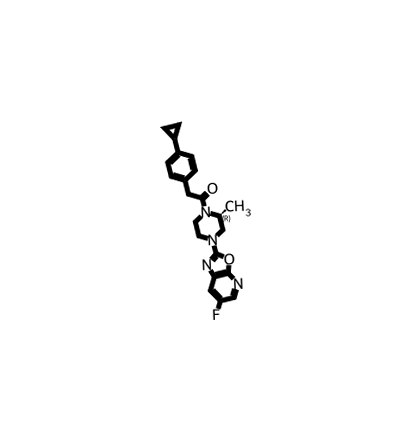 C[C@@H]1CN(c2nc3cc(F)cnc3o2)CCN1C(=O)Cc1ccc(C2CC2)cc1